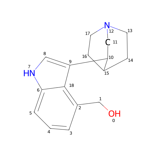 OCc1cccc2[nH]cc(C3CN4CCC3CC4)c12